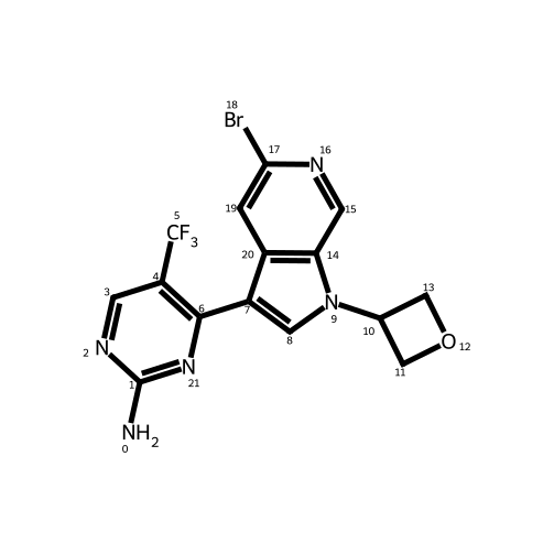 Nc1ncc(C(F)(F)F)c(-c2cn(C3COC3)c3cnc(Br)cc23)n1